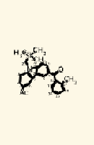 CC(=O)c1ccc2c(c1)c1cc(C(=O)c3ccccc3C)ccc1n2C[Si](C)(C)C